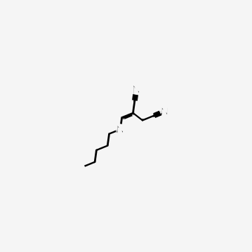 CCCCCN/C=C(/C#N)CC#N